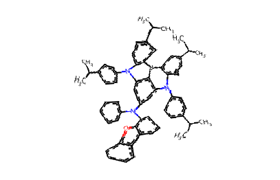 CC(C)c1ccc(N2c3ccc(C(C)C)cc3B3c4cc(C(C)C)ccc4N(c4ccc(C(C)C)cc4)c4cc(N(c5ccccc5)c5cccc6c5oc5ccccc56)cc2c43)cc1